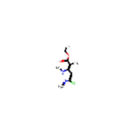 C=N/C(Cl)=C\C(NC)=C(/C)C(=O)OCC